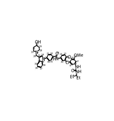 CCC(CC)NC(=O)Nc1ccc(Oc2ccc(NC(=O)c3ccc(-n4cc(CN5CCC(O)CC5)c5ccccc54)cc3)cc2C)c(OC)c1